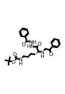 CC(C)(C)OC(=O)NCCCC[C@@H](NCC(=O)c1ccccc1)C(=O)NNC(=O)c1ccccc1